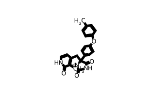 Cc1ccc(Oc2ccc(C3(Cc4cc[nH]c(=O)c4C)NC(=O)NC3=O)cc2)cc1